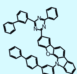 c1ccc(-c2ccc(-c3cccc(-n4c5ccccc5c5ccc6c7cc(-c8nc(-c9ccccc9)nc(-c9cccc(-c%10ccccc%10)c9)n8)ccc7oc6c54)c3)cc2)cc1